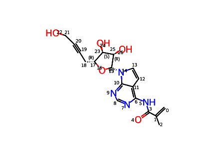 C=C(C)C(=O)Nc1ncnc2c1ccn2[C@@H]1O[C@H](CC#CCO)[C@@H](O)[C@H]1O